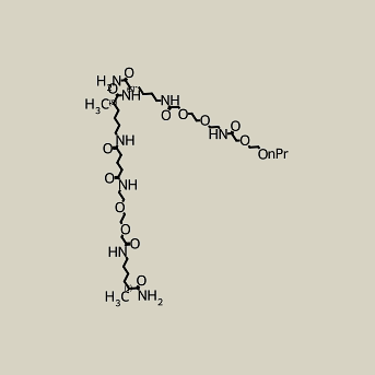 CCCOCCOCC(=O)NCCOCCOCC(=O)NCCCC[C@H](NC(=O)[C@@H](C)CCCCNC(=O)CCCC(=O)NCCOCCOCC(=O)NCCCC[C@H](C)C(N)=O)C(N)=O